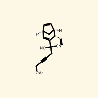 C=C[C@@H]1C(C(C#N)(C#N)CC#CCOC(C)=O)=C[C@H]2C=C[C@@H]1C2